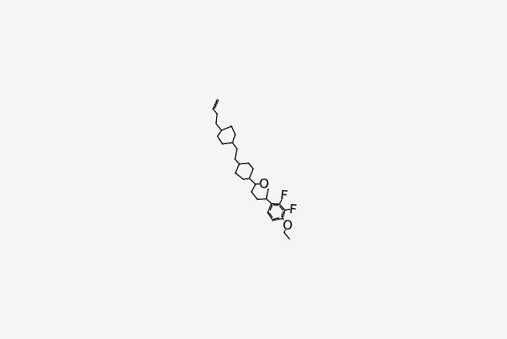 C=CCCC1CCC(CCC2CCC(C3CCC(c4ccc(OCC)c(F)c4F)CO3)CC2)CC1